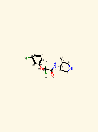 C[C@H]1CNCC[C@@H]1NC(=O)C(F)(F)Oc1cccc(F)c1